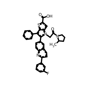 CC1CCCN1C(=O)Cn1c(-c2ccc3nc(-c4cccc(F)c4)ccc3c2)c(-c2ccccc2)c2sc(C(=O)O)cc21